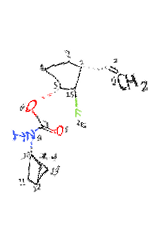 C=C[C@H]1CC[C@@H](OC(=O)NC23CC(C2)C3)[C@@H]1F